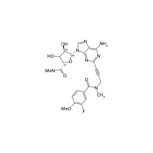 CNC(=O)[C@H]1O[C@@H](n2cnc3c(N)nc(C#CCN(C)C(=O)c4ccc(OC)c(F)c4)nc32)[C@H](O)C1O